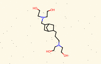 OCCN(CCO)CCCC1CC2CC1CC2CN(CCO)CCO